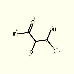 CC(C)C(=O)C(O)C(N)O